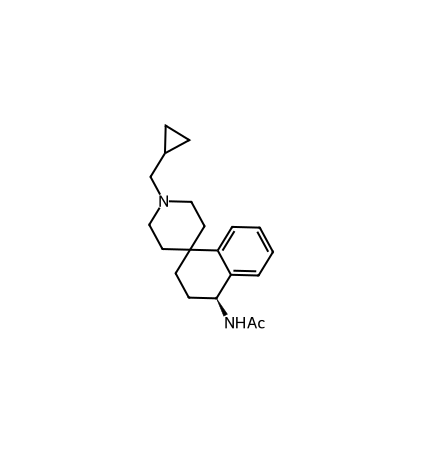 CC(=O)N[C@H]1CCC2(CCN(CC3CC3)CC2)c2ccccc21